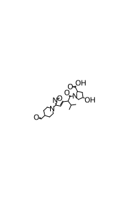 CC(C)C(C(=O)N1CC(O)CC1C(=O)O)c1cc(N2CCC(C=O)CC2)no1